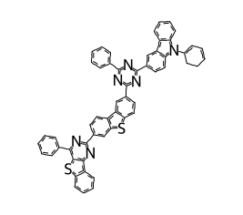 C1=CCCC(n2c3ccccc3c3cc(-c4nc(-c5ccccc5)nc(-c5ccc6sc7cc(-c8nc(-c9ccccc9)c9sc%10ccccc%10c9n8)ccc7c6c5)n4)ccc32)=C1